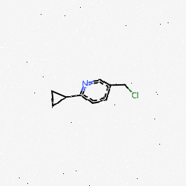 ClCc1ccc(C2CC2)nc1